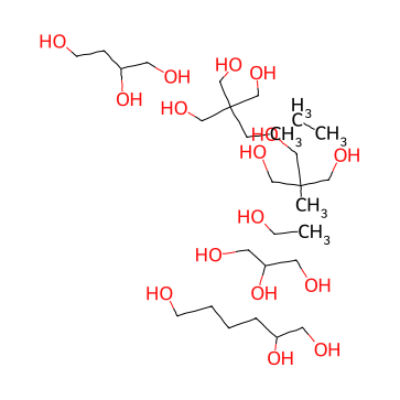 CC.CC(CO)(CO)CO.CCC(CO)(CO)CO.CCO.OCC(O)CO.OCCC(O)CO.OCCCCC(O)CO